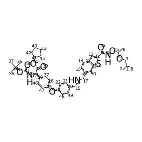 CC(C)COC(C)ONC(=O)c1cc2ccc(CNCc3ccc(OC4=CCC([C@H](NC(=O)OC(C)(C)C)C(=O)OC5CCCC5)C=C4)cc3)cc2s1